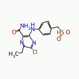 CCc1nc(C(N)=O)c(Nc2ccc(C[SH](=O)=O)cc2)nc1Cl